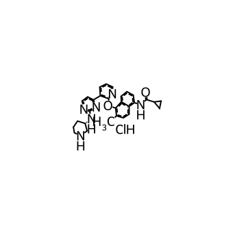 Cc1ccc2c(NC(=O)C3CC3)cccc2c1Oc1ncccc1-c1ccnc(N[C@H]2CCCNC2)n1.Cl